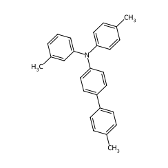 Cc1ccc(-c2ccc(N(c3ccc(C)cc3)c3cccc(C)c3)cc2)cc1